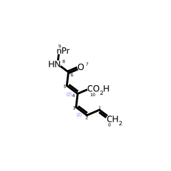 C=C/C=C\C(=C\C(=O)NCCC)C(=O)O